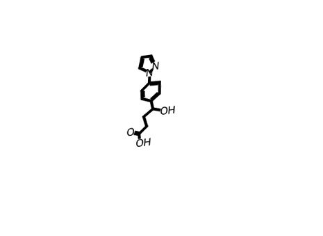 O=C(O)CCC(O)c1ccc(-n2cccn2)cc1